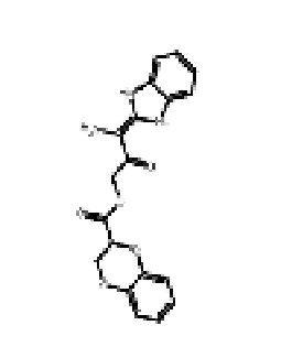 NC(C(=O)COC(=O)C1COc2ccccc2O1)=C1Nc2ccccc2N1